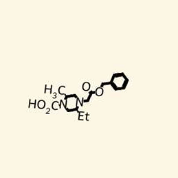 CC[C@H]1CN(C(=O)O)[C@H](C)CN1CC(=O)OCc1ccccc1